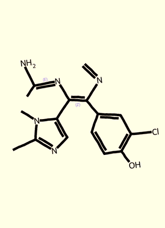 C=N/C(=C(\N=C(/C)N)c1cnc(C)n1C)c1ccc(O)c(Cl)c1